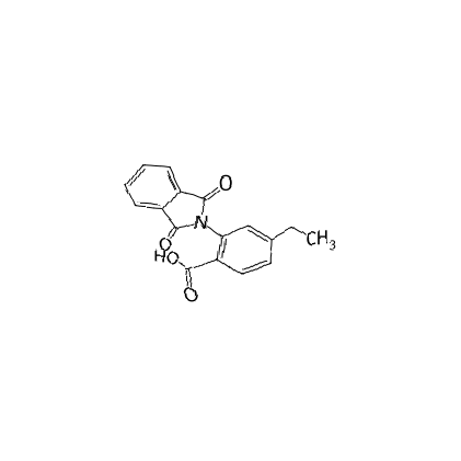 CCc1ccc(C(=O)O)c(N2C(=O)c3ccccc3C2=O)c1